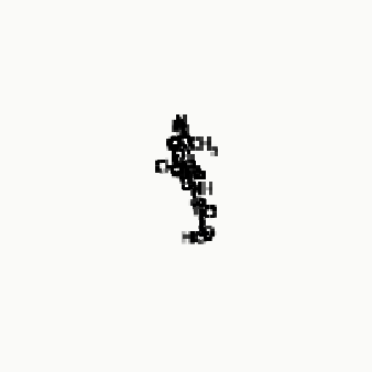 Cc1cc(-n2ccnc2)c2cccc(OCc3c(Cl)ccc(S(=O)(=O)N4CCC[C@H]4C(=O)NCC4CCN(C(=O)CCCC(=O)O)CC4)c3Cl)c2n1